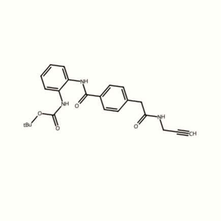 C#CCNC(=O)Cc1ccc(C(=O)Nc2ccccc2NC(=O)OC(C)(C)C)cc1